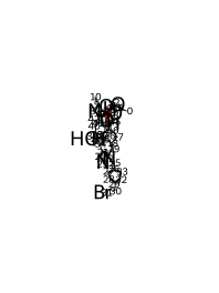 CC(=O)OCC(=O)[C@@]12N=C(C)O[C@@H]1C[C@H]1[C@@H]3CCC4=Cc5c(cnn5Cc5ccc(CBr)cc5)C[C@]4(C)[C@H]3[C@@H](O)C[C@@]12C